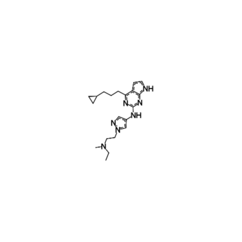 CCN(C)CCn1cc(Nc2nc(CCCC3CC3)c3cc[nH]c3n2)cn1